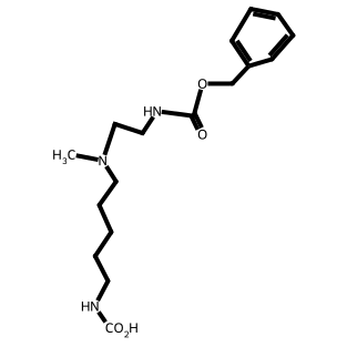 CN(CCCCCNC(=O)O)CCNC(=O)OCc1ccccc1